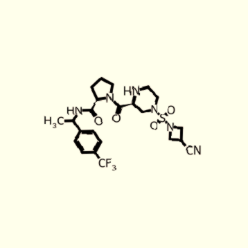 CC(NC(=O)[C@H]1CCCN1C(=O)[C@@H]1CN(S(=O)(=O)N2CC(C#N)C2)CCN1)c1ccc(C(F)(F)F)cc1